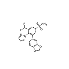 NS(=O)(=O)c1cc(-c2ccc3c(c2)OCO3)c(-n2cccn2)c(C(F)F)c1